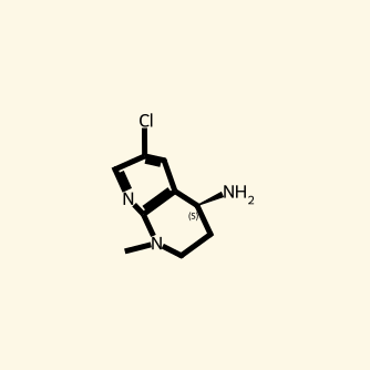 CN1CC[C@H](N)c2cc(Cl)cnc21